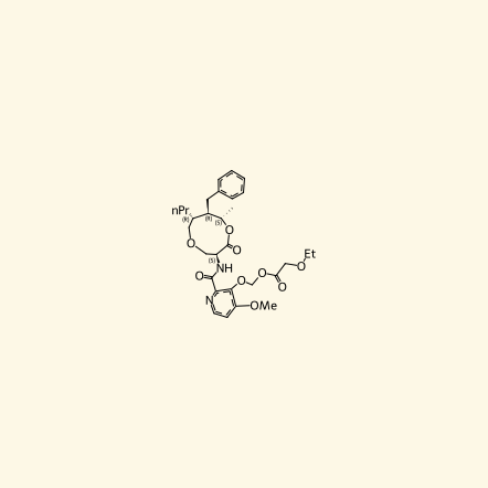 CCC[C@H]1COC[C@H](NC(=O)c2nccc(OC)c2OCOC(=O)COCC)C(=O)O[C@@H](C)[C@@H]1Cc1ccccc1